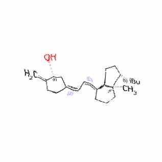 C=C1CC/C(=C/C=C2\CCC[C@@]3(C)C2CCC3[C@@H](C)CC)C[C@H]1O